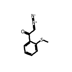 CSc1ccccc1C(=O)C=[N+]=[N-]